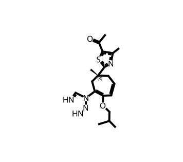 CC(=O)c1sc([C@]2(C)CC=CC(OCC(C)C)=C(N(C=N)N=N)C2)nc1C